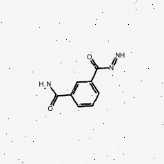 N=NC(=O)c1cccc(C(N)=O)c1